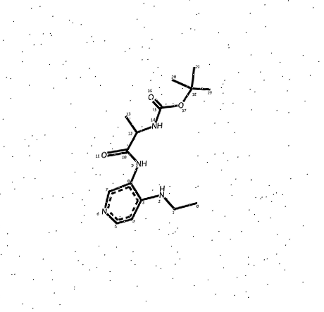 CCNc1ccncc1NC(=O)C(C)NC(=O)OC(C)(C)C